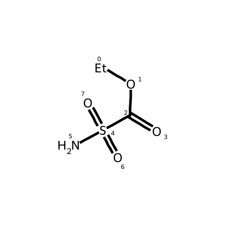 CCOC(=O)S(N)(=O)=O